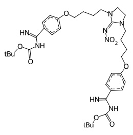 CC(C)(C)OC(=O)NC(=N)c1ccc(OCCCCN2CCN(CCCCOc3ccc(C(=N)NC(=O)OC(C)(C)C)cc3)C2=N[N+](=O)[O-])cc1